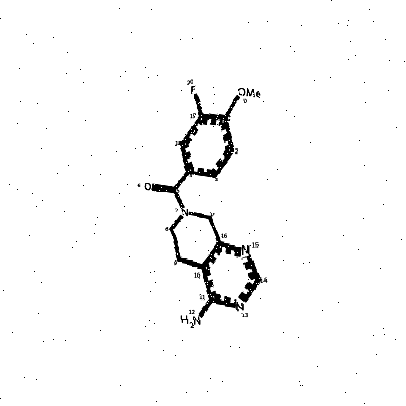 COc1ccc(C(=O)N2CCc3c(N)ncnc3C2)cc1F